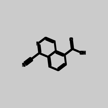 N#Cc1nccc2c(C(=O)O)cccc12